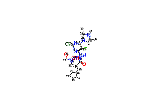 C[C@H]1CN(c2nc(Cl)nc(NNC(=O)[C@@H](CC3CCCC3)CN(O)C=O)c2F)C[C@H](C)N1C